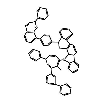 CC1=C(N2c3ccccc3C3C=CC4=C(CC(c5ccc(-c6cccc7c6OC(c6ccccc6)C=C7)cc5)c5ccccc54)C32)C=CC(c2ccccc2)N=C1c1cccc(-c2ccccc2)c1